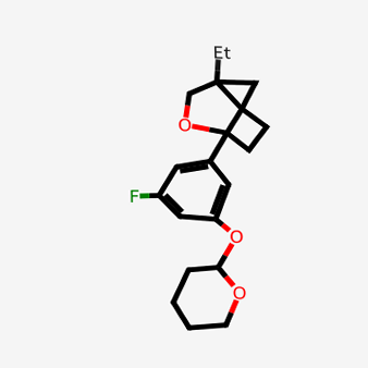 CCC12COC3(c4cc(F)cc(OC5CCCCO5)c4)CCC13C2